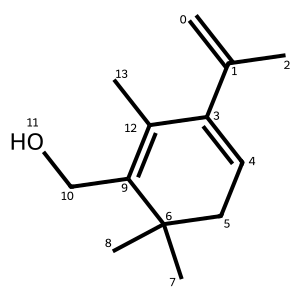 C=C(C)C1=CCC(C)(C)C(CO)=C1C